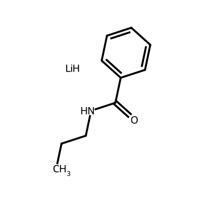 CCCNC(=O)c1ccccc1.[LiH]